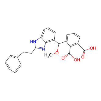 COC(c1cccc(C(=O)O)c1C(=O)O)c1cccc2[nH]c(CCc3ccccc3)nc12